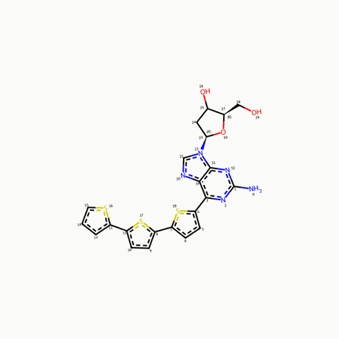 Nc1nc(-c2ccc(-c3ccc(-c4cccs4)s3)s2)c2ncn([C@H]3CC(O)[C@@H](CO)O3)c2n1